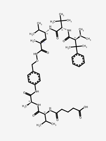 C/C(=C\[C@@H](NC(=O)[C@@H](NC(=O)[C@@H](N(C)C)C(C)(C)c1ccccc1)C(C)(C)C)C(C)C)C(=O)NOCc1ccc(NC(=O)[C@H](C)NC(=O)[C@@H](NC(=O)CCCC(=O)O)C(C)C)cc1